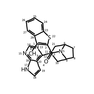 Cc1c(C(=O)N2C3CCC2CN(c2ncnc4[nH]ccc24)C3)sc2ccccc12